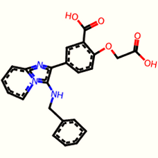 O=C(O)COc1ccc(-c2nc3ccccn3c2NCc2ccccc2)cc1C(=O)O